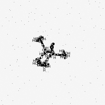 CC(=O)NC1C(OCCOCCNC(=O)CN(CC(=O)NCCOCCOC2OC(CO)C(O)C(O)C2NC(C)=O)C(=O)CCC(NC(=O)C2CCC(OC(C)(C)C)CC2)C(=O)N(CC(=O)NCCOCCOC2OC(CO)C(O)C(O)C2NC(C)=O)CC(=O)NCCOCCOC2OC(CO)C(O)C(O)C2NC(C)=O)OC(CO)C(O)C1O